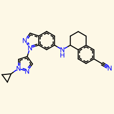 N#Cc1ccc2c(c1)CCCC2Nc1ccc2cnn(-c3cnn(C4CC4)c3)c2c1